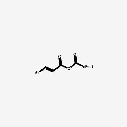 CCC/C=C/C(=O)OC(=O)CCCCC